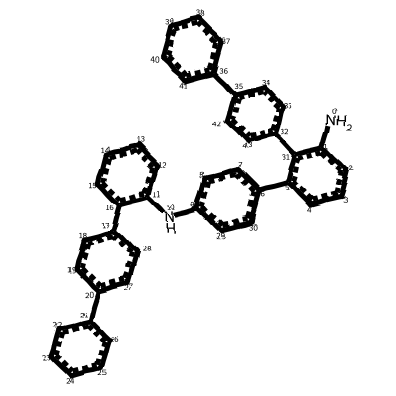 Nc1cccc(-c2ccc(Nc3ccccc3-c3ccc(-c4ccccc4)cc3)cc2)c1-c1ccc(-c2ccccc2)cc1